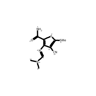 CSc1sc(C(N)=O)c(N=CN(C)C)c1C#N